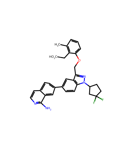 Cc1cccc(OCc2nn(C3CCC(F)(F)C3)c3ccc(-c4ccc5ccnc(N)c5c4)cc23)c1CC(=O)O